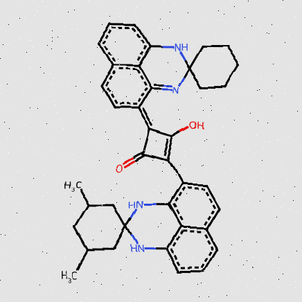 CC1CC(C)CC2(C1)Nc1cccc3ccc(C4=C(O)/C(=c5/ccc6cccc7c6c5=NC5(CCCCC5)N7)C4=O)c(c13)N2